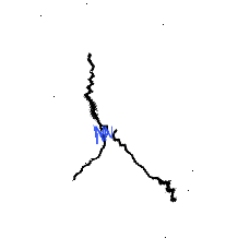 CCCCCCCCCCCCCCCCC(C)n1cc(CCCCCCCCCCCC)nc1CCCCCCCCC